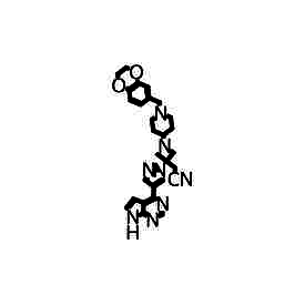 N#CCC1(n2cc(-c3ncnc4[nH]ccc34)cn2)CN(C2CCN(Cc3ccc4c(c3)OCCO4)CC2)C1